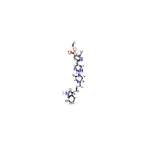 CCOC(=O)c1sc(-c2cnc(N3CCN(CCCc4c[nH]c5ccccc45)CC3)nc2)nc1C